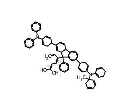 C=C/C(=C\C=C(/C)O)C1(c2ccccc2)c2cc(C3C=CC(N(C4=CCCC=C4)C4(C)C=CC=CC4)=CC3)ccc2C2C=CC(C3C=CC(N(c4ccccc4)c4ccccc4)=CC3)=CC21